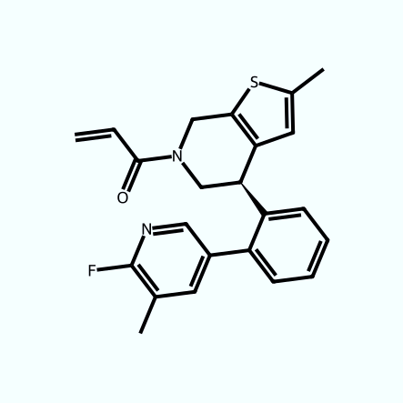 C=CC(=O)N1Cc2sc(C)cc2[C@@H](c2ccccc2-c2cnc(F)c(C)c2)C1